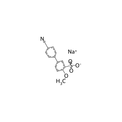 COc1ccc(-c2ccc(C#N)cc2)cc1S(=O)(=O)[O-].[Na+]